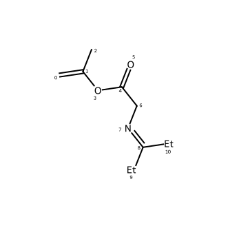 C=C(C)OC(=O)CN=C(CC)CC